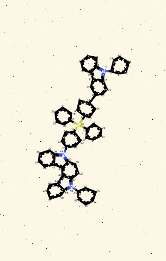 c1ccc(-n2c3ccccc3c3cc(-c4ccc(S(c5ccccc5)(c5ccccc5)c5ccc(-n6c7ccccc7c7c8c9ccccc9n(-c9ccccc9)c8ccc76)cc5)cc4)ccc32)cc1